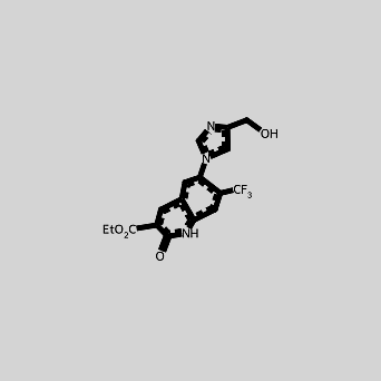 CCOC(=O)c1cc2cc(-n3cnc(CO)c3)c(C(F)(F)F)cc2[nH]c1=O